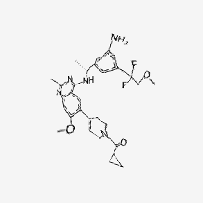 COCC(F)(F)c1cc(N)cc([C@@H](C)Nc2nc(C)nc3cc(OC)c(C4=CCN(C(=O)C5CC5)CC4)cc23)c1